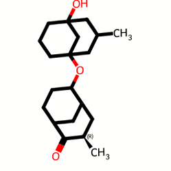 CC1CC2(O)CCCC(OC3CCC4CC3C[C@@H](C)C4=O)(C1)C2